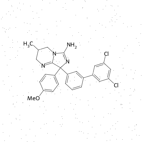 COc1ccc(C2(c3cccc(-c4cc(Cl)cc(Cl)c4)c3)N=C(N)N3CC(C)CN=C32)cc1